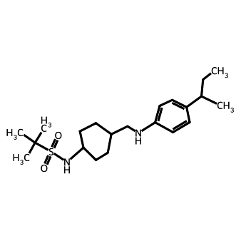 CCC(C)c1ccc(NCC2CCC(NS(=O)(=O)C(C)(C)C)CC2)cc1